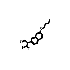 CCCCSc1ccc2ccc(C(C=O)C(F)F)cc2c1